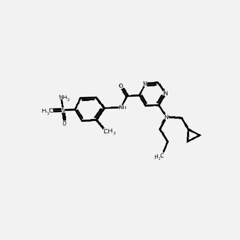 C=S(N)(=O)c1ccc(NC(=O)c2cc(N(CCC)CC3CC3)ncn2)c(C)c1